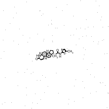 Cc1cnc(NC(=O)C[C@H]2CC[C@H]3[C@@H]4CC[C@H]5NC(=O)C=C[C@]5(C)[C@H]4CC[C@]23C)s1